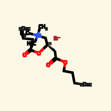 CCCCCCCCCCCCCOC(=O)C[C@@H](C[N+](C)(C)C)OC(=O)CCCCCCCCCCCC.[Br-]